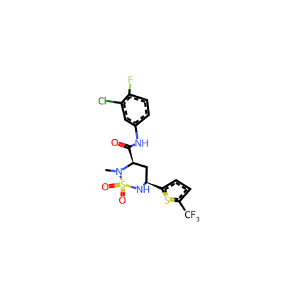 CN1[C@@H](C(=O)Nc2ccc(F)c(Cl)c2)C[C@@H](c2ccc(C(F)(F)F)s2)NS1(=O)=O